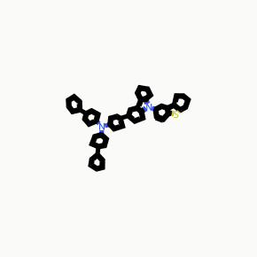 c1c(-n2c3ccccc3c3cc(-c4ccc(N(c5ccc(-c6ccccc6)cc5)c5ccc(-c6ccccc6)cc5)cc4)ccc32)cc2c(c#1)sc1ccccc12